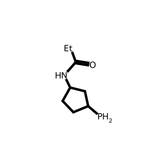 CCC(=O)NC1CCC(P)C1